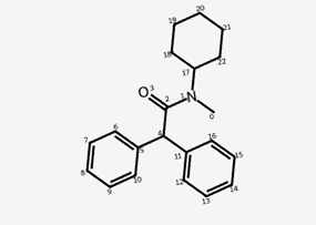 CN(C(=O)C(c1ccccc1)c1ccccc1)C1CCCCC1